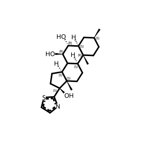 C[C@H]1CC[C@@]2(C)[C@H](C1)[C@@H](O)[C@H](O)C1[C@@H]2CC[C@@]2(C)[C@H]1CC[C@@]2(O)c1nccs1